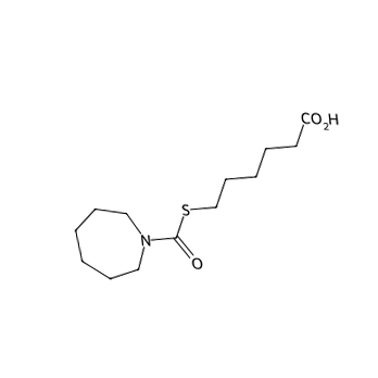 O=C(O)CCCCCSC(=O)N1CCCCCC1